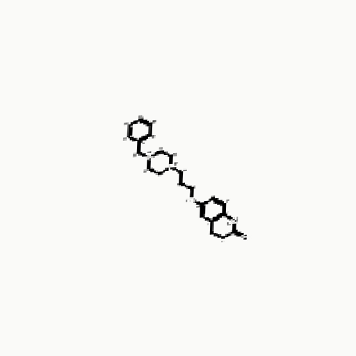 O=C1CCc2cc(OCCCN3CCN(Cc4ccccc4)CC3)ccc2N1